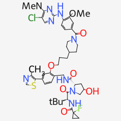 CNc1nc(Nc2ccc(C(=O)N3CCC(CCCOc4cc(-c5scnc5C)ccc4CNC(=O)[C@@H]4C[C@@H](O)CN4C(=O)[C@@H](NC(=O)C4(F)CC4)C(C)(C)C)CC3)cc2OC)ncc1Cl